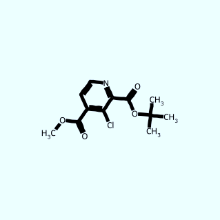 COC(=O)c1ccnc(C(=O)OC(C)(C)C)c1Cl